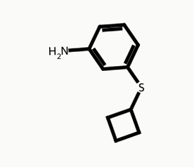 Nc1cccc(SC2CCC2)c1